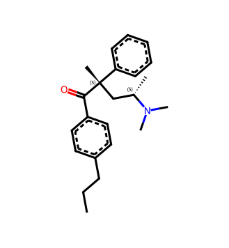 CCCc1ccc(C(=O)[C@@](C)(C[C@H](C)N(C)C)c2ccccc2)cc1